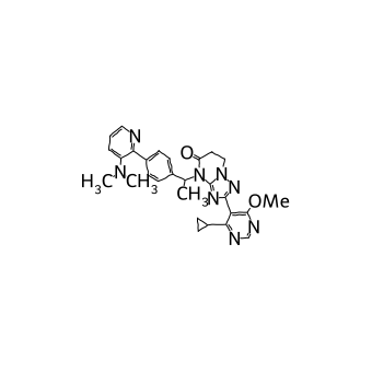 COc1ncnc(C2CC2)c1-c1nc2n(n1)CCC(=O)N2C(C)c1ccc(-c2ncccc2N(C)C)cc1